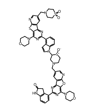 O=C1Cc2c(cccc2-c2nc(N3CCOCC3)c3oc4ncc(CN5CC[S+]([O-])C(n6ccc7c(-c8nc(N9CCOCC9)c9sc%10ncc(CN%11CCS(=O)(=O)CC%11)cc%10c9n8)cccc76)C5)cc4c3n2)N1